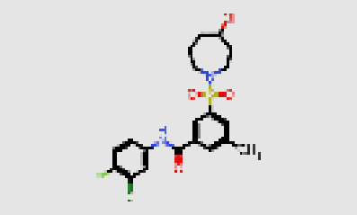 Cc1cc(C(=O)Nc2ccc(F)c(Cl)c2)cc(S(=O)(=O)N2CCCC(O)CC2)c1